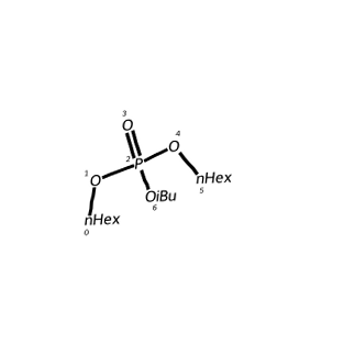 CCCCCCOP(=O)(OCCCCCC)OCC(C)C